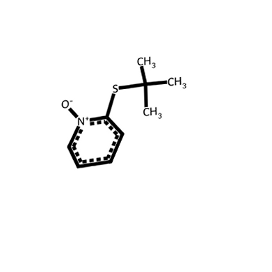 CC(C)(C)Sc1cccc[n+]1[O-]